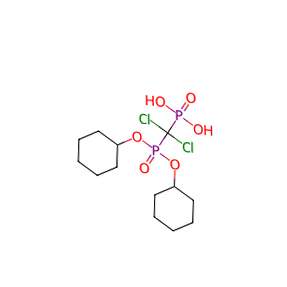 O=P(O)(O)C(Cl)(Cl)P(=O)(OC1CCCCC1)OC1CCCCC1